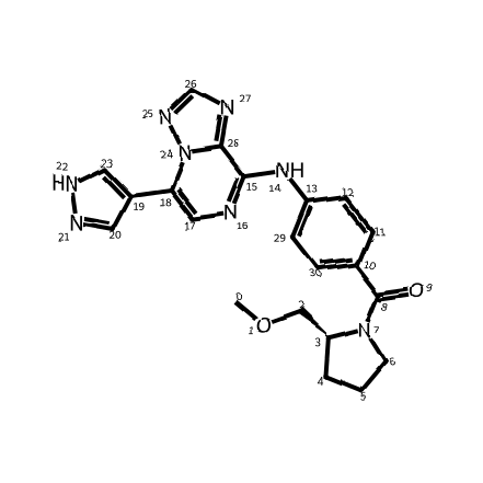 COC[C@@H]1CCCN1C(=O)c1ccc(Nc2ncc(-c3cn[nH]c3)n3ncnc23)cc1